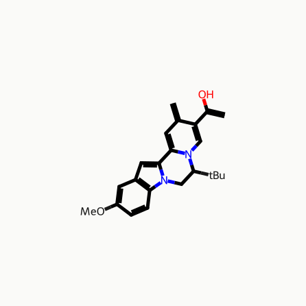 C=C(O)C1=CN2C(=CC1=C)c1cc3cc(OC)ccc3n1CC2C(C)(C)C